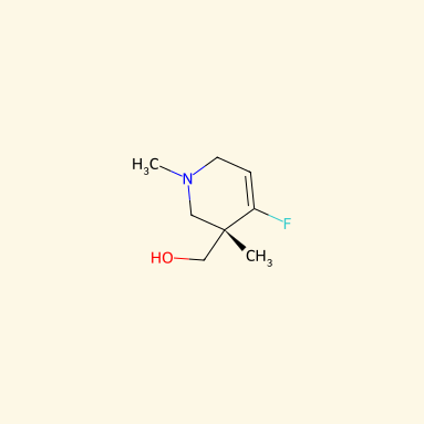 CN1CC=C(F)[C@](C)(CO)C1